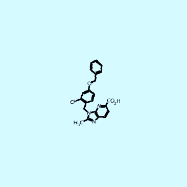 Cc1nc2ccc(C(=O)O)nc2n1Cc1ccc(OCc2ccccc2)cc1Cl